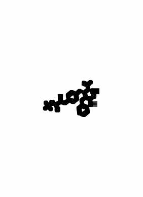 C=C(C)[C@H](O)[C@H](Cc1ccc(CNC(=O)OC(C)(C)C)cc1)N(Cc1ccccc1)C(=O)O